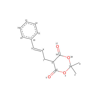 CC1(C)OC(=O)C(C/C=C/c2ccccc2)C(=O)O1